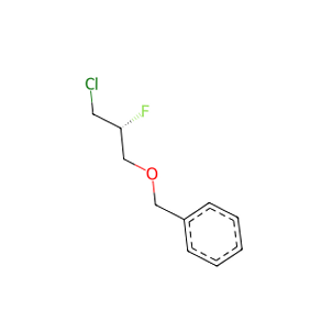 F[C@@H](CCl)COCc1ccccc1